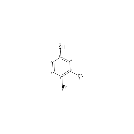 CC(C)c1ccc(S)cc1C#N